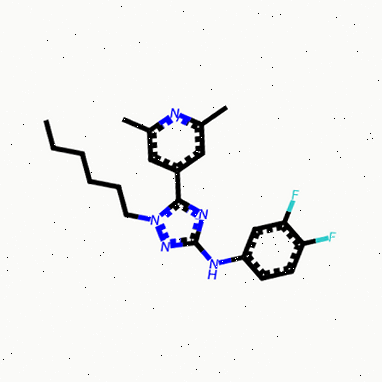 CCCCCCn1nc(Nc2ccc(F)c(F)c2)nc1-c1cc(C)nc(C)c1